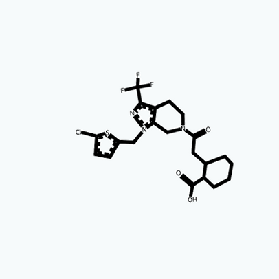 O=C(O)C1CCCCC1CC(=O)N1CCc2c(C(F)(F)F)nn(Cc3ccc(Cl)s3)c2C1